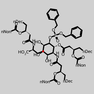 CCCCCCCCCCC[C@H](CC(=O)N[C@H]([C@@H](OC(=O)C[C@@H](CCCCCCCCCCC)OC(=O)CCCCCCCCC)[C@H](OP(=O)(OCc1ccccc1)OCc1ccccc1)[C@H](O)CO)[C@@H](O)CC[C@H](NC(=O)C[C@@H](CCCCCCCCCCC)OC(=O)CCCCCCCCC)C(=O)O)OC(=O)CCCCCCCCC